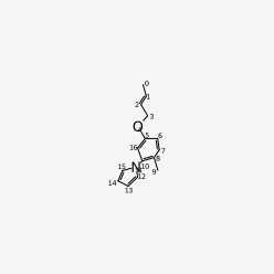 CC=CCOc1ccc(C)c(-n2cccc2)c1